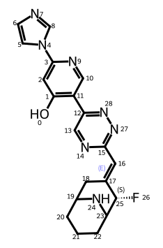 Oc1cc(-n2ccnc2)ncc1-c1cnc(/C=C2\CC3CCCC(N3)[C@H]2F)nn1